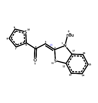 CCCCN1/C(=C/C(=O)c2cccs2)Sc2ccccc21